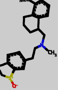 COc1cccc2c1CCCC2CN(C)CCc1ccc2c(c1)[S+]([O-])CC2